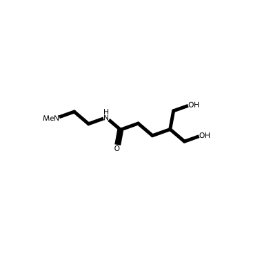 CNCCNC(=O)CCC(CO)CO